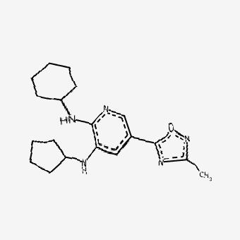 Cc1noc(-c2cnc(NC3CCCCC3)c(NC3CCCC3)c2)n1